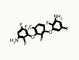 Nc1cc(F)cc(Oc2ccc(C(F)(F)F)c(Oc3cc(F)cc(N)c3F)c2F)c1F